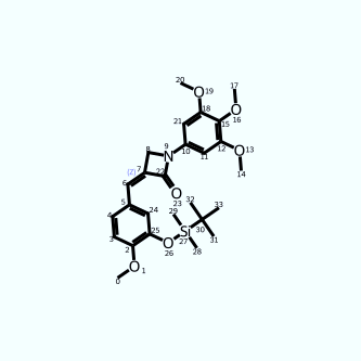 COc1ccc(/C=C2/CN(c3cc(OC)c(OC)c(OC)c3)C2=O)cc1O[Si](C)(C)C(C)(C)C